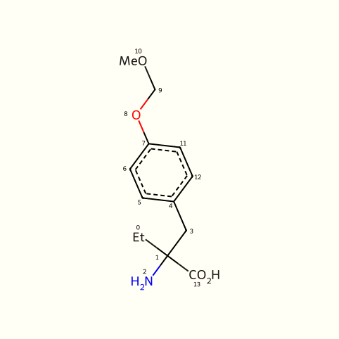 CCC(N)(Cc1ccc(OCOC)cc1)C(=O)O